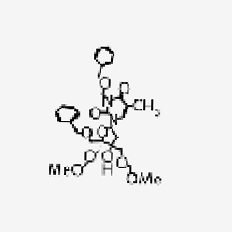 COCOC[C@]1(O)C[C@H](n2cc(C)c(=O)n(COCc3ccccc3)c2=O)O[C@]1(COCOC)COCc1ccccc1